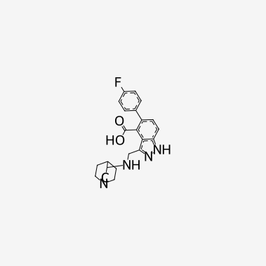 O=C(O)c1c(-c2ccc(F)cc2)ccc2[nH]nc(CNC3CN4CCC3CC4)c12